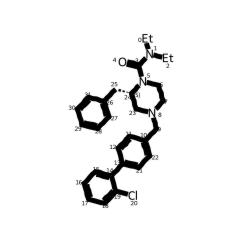 CCN(CC)C(=O)N1CCN(Cc2ccc(-c3ccccc3Cl)cc2)C[C@@H]1Cc1ccccc1